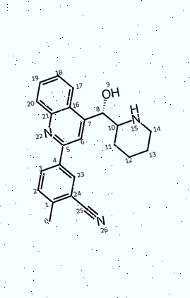 Cc1ccc(-c2cc([C@H](O)C3CCCCN3)c3ccccc3n2)cc1C#N